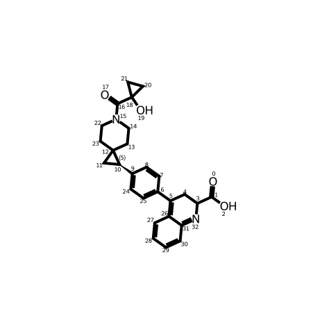 O=C(O)C1CC(c2ccc([C@H]3CC34CCN(C(=O)C3(O)CC3)CC4)cc2)=c2ccccc2=N1